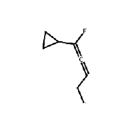 [CH2]CC=C=C(F)C1CC1